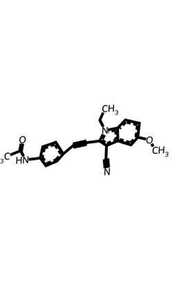 CCn1c(C#Cc2ccc(NC(C)=O)cc2)c(C#N)c2cc(OC)ccc21